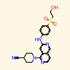 N#CC1CCN(c2nccc3cnc(Nc4ccc(S(=O)(=O)CCO)cc4)cc23)CC1